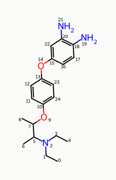 CCN(CC)C(C)C(C)Oc1ccc(Oc2ccc(N)c(N)c2)cc1